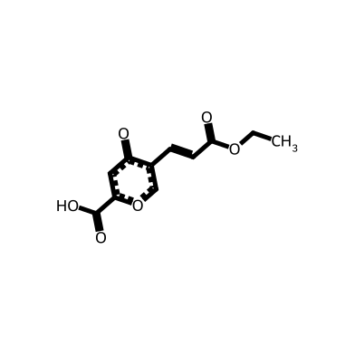 CCOC(=O)/C=C/c1coc(C(=O)O)cc1=O